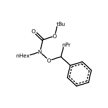 CCCCCCN(OC(CCC)c1ccccc1)C(=O)OC(C)(C)C